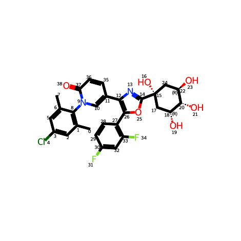 Cc1cc(Cl)cc(C)c1-n1cc(-c2nc([C@]3(O)C[C@@H](O)[C@@H](O)[C@H](O)C3)oc2-c2ccc(F)cc2F)ccc1=O